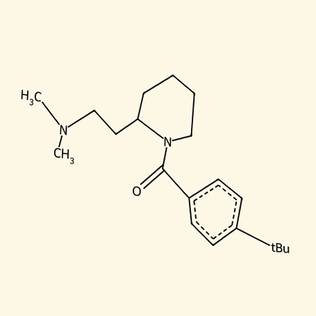 CN(C)CCC1CCCCN1C(=O)c1ccc(C(C)(C)C)cc1